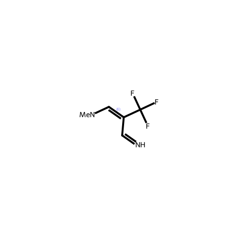 CN/C=C(\C=N)C(F)(F)F